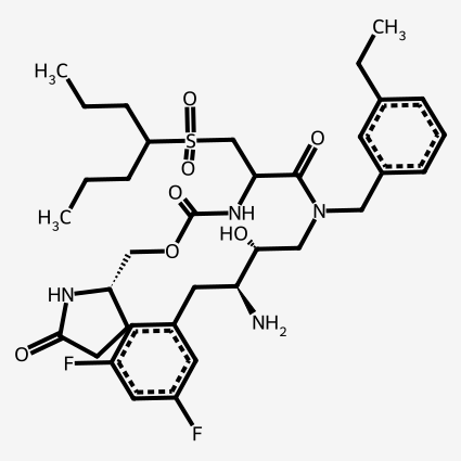 CCCC(CCC)S(=O)(=O)CC(NC(=O)OC[C@@H]1CCC(=O)N1)C(=O)N(Cc1cccc(CC)c1)C[C@@H](O)[C@@H](N)Cc1cc(F)cc(F)c1